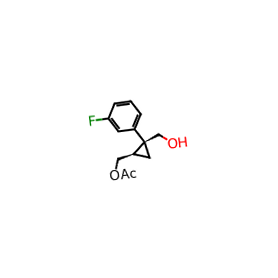 CC(=O)OC[C@@H]1C[C@@]1(CO)c1cccc(F)c1